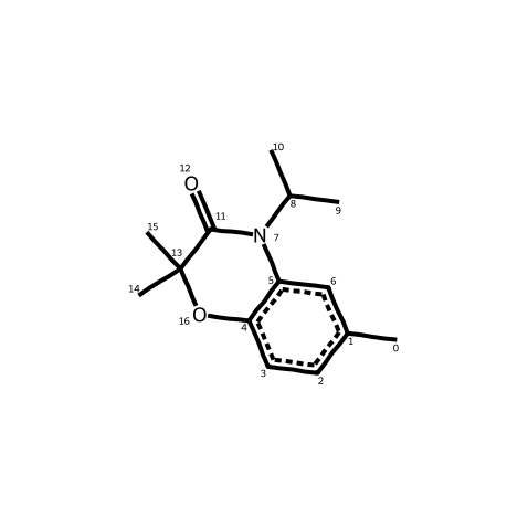 Cc1ccc2c(c1)N(C(C)C)C(=O)C(C)(C)O2